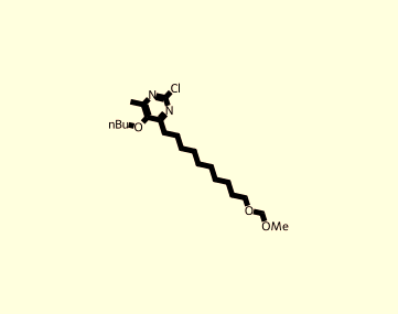 CCCCOc1c(C)nc(Cl)nc1CCCCCCCCCCOCOC